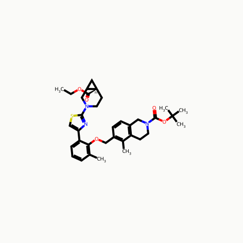 CCOC(=O)[C@@]12CCN(c3nc(-c4cccc(C)c4OCc4ccc5c(c4C)CCN(C(=O)OC(C)(C)C)C5)cs3)CC1C2